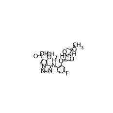 COc1c(C(=O)O)cn2ncnc(Nc3ccc(F)cc3O[C@@H]3CO[C@H]4[C@@H]3OC[C@H]4OC)c12